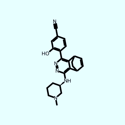 CN1CCC[C@@H](Nc2nnc(-c3ccc(C#N)cc3O)c3c2C2C=CC3CC2)C1